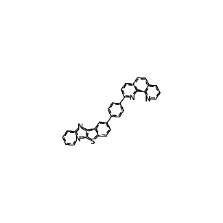 c1cnc2c(c1)ccc1ccc(-c3ccc(-c4ccc5sc6c(nc7ccccn76)c5c4)cc3)nc12